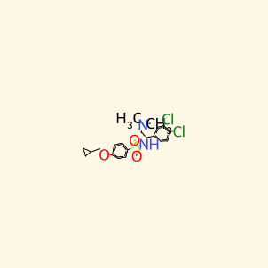 CN(C)C[C@H](NS(=O)(=O)c1ccc(OCC2CC2)cc1)c1ccc(Cl)c(Cl)c1